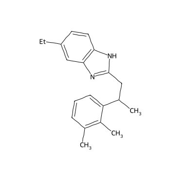 CCc1ccc2[nH]c(CC(C)c3cccc(C)c3C)nc2c1